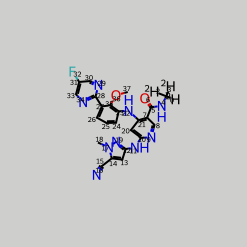 [2H]C([2H])([2H])NC(=O)c1cnc(Nc2cc(C#N)n(C)n2)cc1Nc1cccc(-c2ncc(F)cn2)c1OC